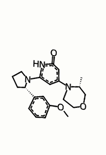 COc1cccc([C@@H]2CCCN2c2cc(N3CCOC[C@H]3C)cc(=O)[nH]2)c1